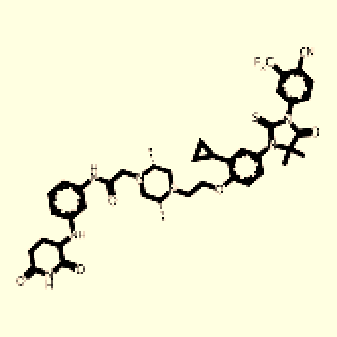 C[C@@H]1CN(CC(=O)Nc2cccc(NC3CCC(=O)NC3=O)c2)[C@H](C)CN1CCOc1ccc(N2C(=S)N(c3ccc(C#N)c(C(F)(F)F)c3)C(=O)C2(C)C)cc1C1CC1